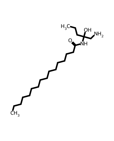 CCCCCCCCCCCCCCCC(=O)NC(O)(CN)CCC